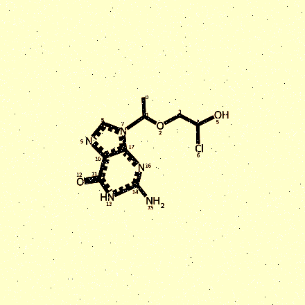 CC(OCC(O)Cl)n1cnc2c(=O)[nH]c(N)nc21